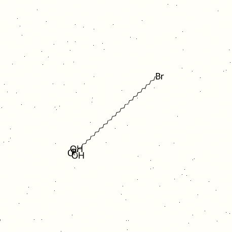 O=P(O)(O)CCCCCCCCCCCCCCCCCCCCCCCCCCCCCCCCCCCCCCBr